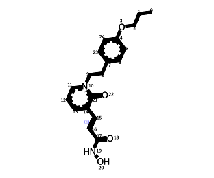 CCCOc1ccc(CCn2cccc(/C=C/C(=O)NO)c2=O)cc1